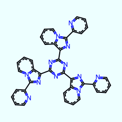 c1ccc(-c2nc(-c3nc(-c4nc(-c5ccccn5)n5ccccc45)nc(-c4nc(-c5ccccn5)n5ccccc45)n3)c3ccccn23)nc1